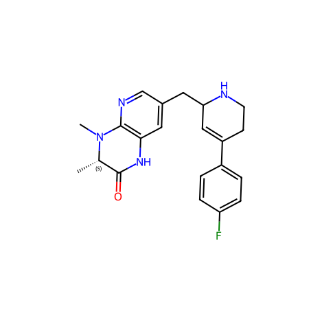 C[C@H]1C(=O)Nc2cc(CC3C=C(c4ccc(F)cc4)CCN3)cnc2N1C